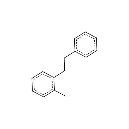 [CH2]c1ccccc1CCc1ccccc1